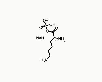 NCCCC[C@H](N)C(=O)OP(=O)(O)O.[NaH]